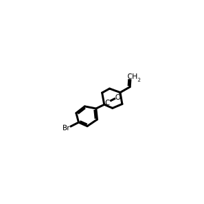 C=CC12CCC(c3ccc(Br)cc3)(CC1)CO2